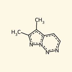 Cc1nn2nnccc2c1C